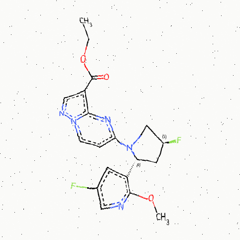 CCOC(=O)c1cnn2ccc(N3C[C@@H](F)C[C@@H]3c3cc(F)cnc3OC)nc12